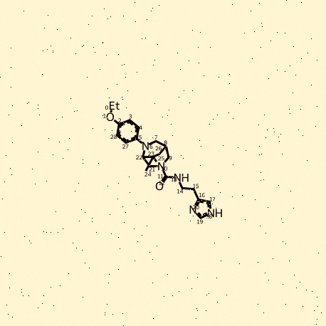 CCOc1ccc(N2CC3CN(C(=O)NCCc4c[nH]cn4)CC2C(C)(C)C3)cc1